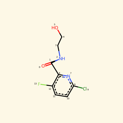 O=C(NCCO)c1nc(Cl)ccc1F